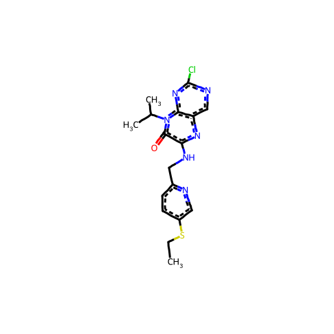 CCSc1ccc(CNc2nc3cnc(Cl)nc3n(C(C)C)c2=O)nc1